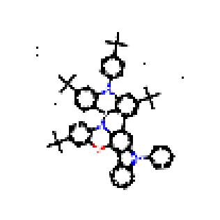 CC(C)(C)c1ccc(N2c3cc(C(C)(C)C)ccc3B3c4c(cc(C(C)(C)C)cc42)-c2cc4c(c5c2N3c2ccc(C(C)(C)C)cc2O5)c2ccccc2n4-c2ccccc2)cc1